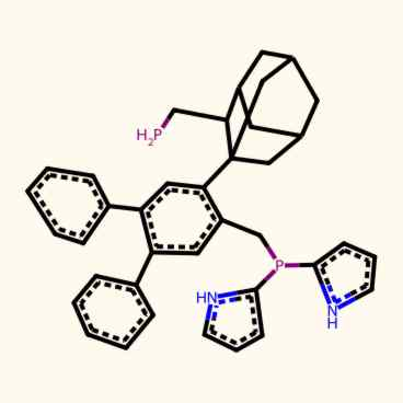 PCC1C2CC3CC(C2)CC1(c1cc(-c2ccccc2)c(-c2ccccc2)cc1CP(c1ccc[nH]1)c1ccc[nH]1)C3